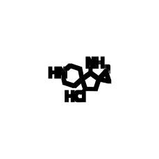 Cl.NC1C2(CCNCC2)CCC12CC2